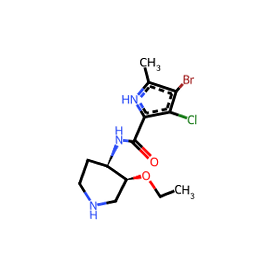 CCO[C@H]1CNCC[C@H]1NC(=O)c1[nH]c(C)c(Br)c1Cl